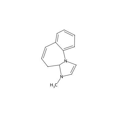 CN1C=CN2c3ccccc3C=CCC12